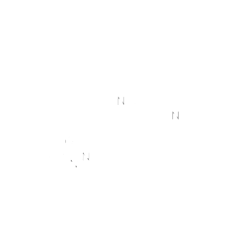 Cc1cccc(N(c2ccc(-c3nnc(-c4ccccc4)o3)cc2)c2ccc3c(c2)c2ccccc2n3-c2ccccc2)c1